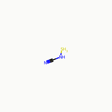 N#CN[SH3]